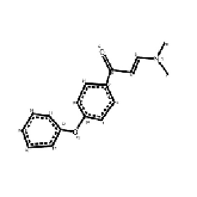 CN(C)/C=C/C(=O)c1ccc(Oc2ccccc2)cc1